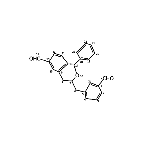 O=Cc1cccc(CC(Cc2cccc(C=O)c2)OCc2ccccc2)c1